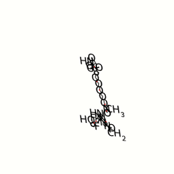 C=CC(=O)N1CCN(c2nc(NCCC(=O)N(C)CCOCCOCCOCCOCCOc3ccc4c(c3)C(=O)N(C3CCC(=O)NC3=O)C4=O)nc3c2=CC(c2c(O)cccc2F)C=3F)CC1